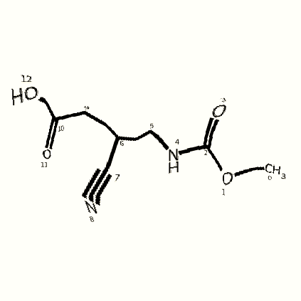 COC(=O)NCC(C#N)CC(=O)O